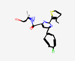 Cc1ccsc1-c1nc(C(=O)N[C@@H](C)CO)cc(-c2ccc(Cl)cc2)n1